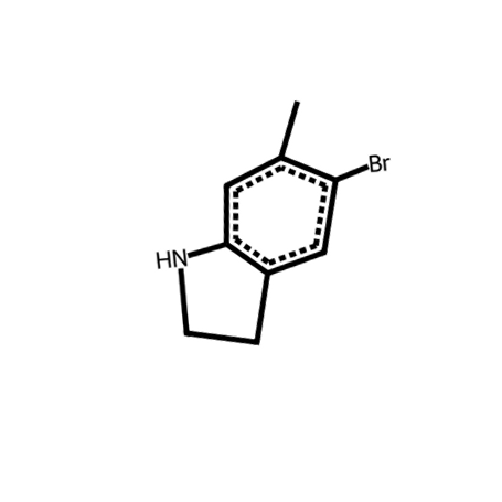 Cc1cc2c(cc1Br)CCN2